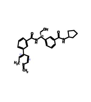 C=N/C=C\C(=C/C)c1cccc(C(=O)N[C@H](CO)c2cccc(C(=O)NC3CCCC3)c2)c1